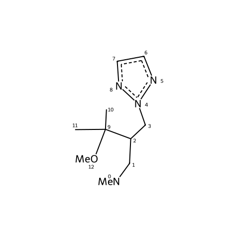 CNCC(Cn1nccn1)C(C)(C)OC